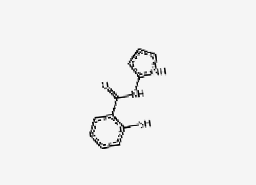 O=C(Nc1ccc[nH]1)c1ccccc1S